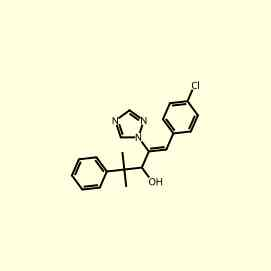 CC(C)(c1ccccc1)C(O)C(=Cc1ccc(Cl)cc1)n1cncn1